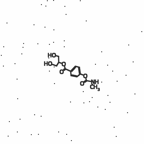 CNC(=O)Oc1ccc(C(=O)OC(CO)CO)cc1